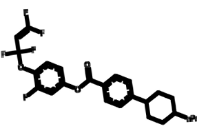 CCCC1CCC(c2ccc(C(=O)Oc3ccc(OC(F)(F)C=C(F)F)c(F)c3)cc2)CC1